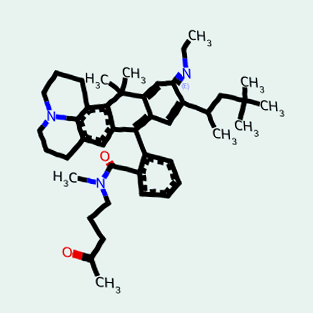 CC/N=C1\C=C2C(=C(c3ccccc3C(=O)N(C)CCCC(C)=O)c3cc4c5c(c3C2(C)C)CCCN5CCC4)C=C1C(C)CC(C)(C)C